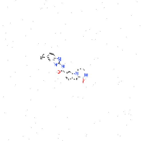 Cc1ccc2[nH]c(NC(=O)c3ccc4cc5n(c4c3)CCCNC5=O)nc2c1